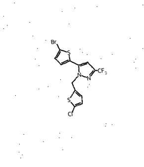 FC(F)(F)c1cc(-c2ccc(Br)s2)n(Cc2ccc(Cl)s2)n1